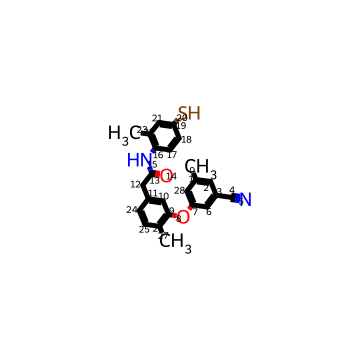 Cc1cc(C#N)cc(Oc2cc(CC(=O)Nc3ccc(S)cc3C)ccc2C)c1